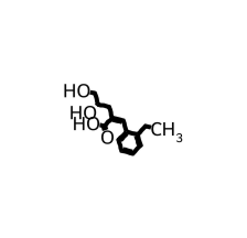 CCc1ccccc1C=C(CC(O)CO)C(=O)O